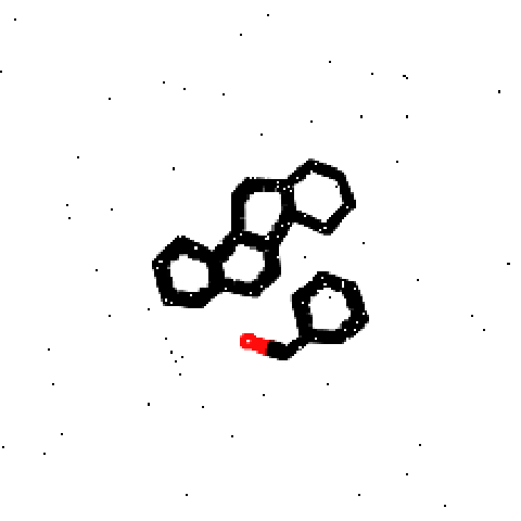 O=Cc1ccccc1.c1ccc2c(c1)ccc1c3c(ccc12)CCCC3